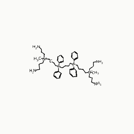 C[N+](CCCN)(CCCN)CCCC[P+](CCCC[P+](CCCC[N+](C)(CCCN)CCCN)(c1ccccc1)c1ccccc1)(c1ccccc1)c1ccccc1